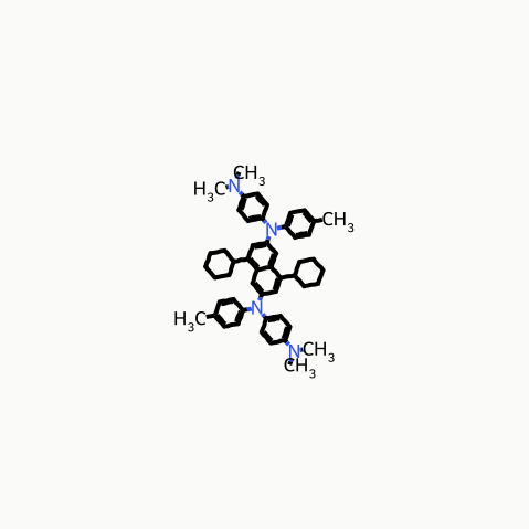 Cc1ccc(N(c2ccc(N(C)C)cc2)c2cc(C3CCCCC3)c3cc(N(c4ccc(C)cc4)c4ccc(N(C)C)cc4)cc(C4CCCCC4)c3c2)cc1